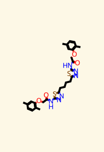 Cc1ccc(C)c(OCC(=O)Nc2nnc(CCCCc3nnc(NC(=O)COc4cc(C)ccc4C)s3)s2)c1